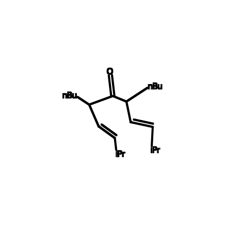 CCCCC(C=CC(C)C)C(=O)C(C=CC(C)C)CCCC